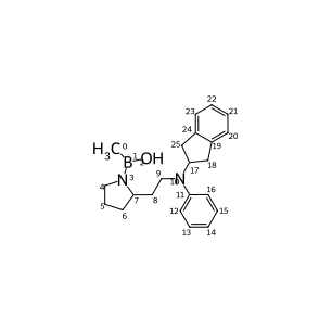 CB(O)N1CCCC1CCN(c1ccccc1)C1Cc2ccccc2C1